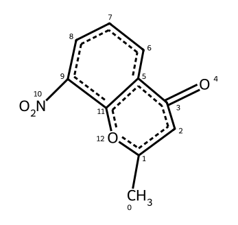 Cc1cc(=O)c2cccc([N+](=O)[O-])c2o1